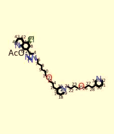 CC(=O)Oc1c(-c2cn(CCCCCCOCCCc3ccc[n+](CCCCOCCCc4cccnc4)c3)nn2)cc(Cl)c2cccnc12